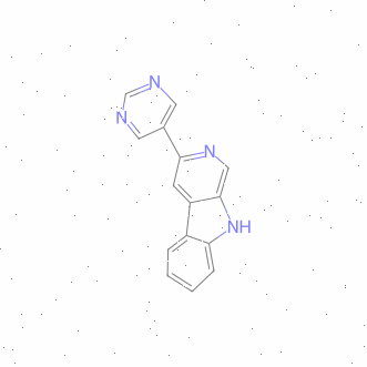 c1ccc2c(c1)[nH]c1cnc(-c3cncnc3)cc12